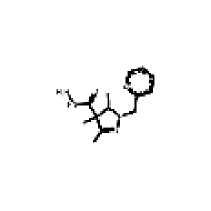 CC1=NN(Cc2ccccn2)C(C)C1(C)C(=O)NN